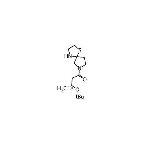 C[C@H](CC(=O)N1CCC2(C1)NCCS2)OC(C)(C)C